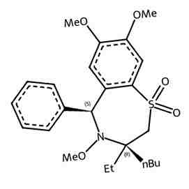 CCCC[C@]1(CC)CS(=O)(=O)c2cc(OC)c(OC)cc2[C@H](c2ccccc2)N1OC